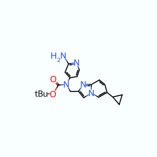 CC(C)(C)OC(=O)N(Cc1cn2cc(C3CC3)ccc2n1)c1ccnc(N)c1